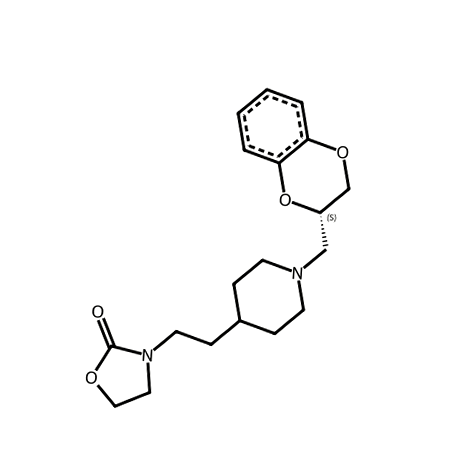 O=C1OCCN1CCC1CCN(C[C@H]2COc3ccccc3O2)CC1